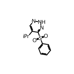 CC(C)C1=C[N]NN=C1S(=O)(=O)c1ccccc1